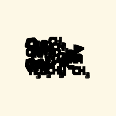 CCC[C@H](NC(=O)[C@@H]1C[C@@]2(CN1C(=O)[C@@H](NC(=O)[C@@H](NC(=O)[C@@H]1CCCN(C)C1)C1CCCCC1)C(C)(C)C)C(C)(C)C21CCC1)C(=O)NS(=O)(=O)C1CC1